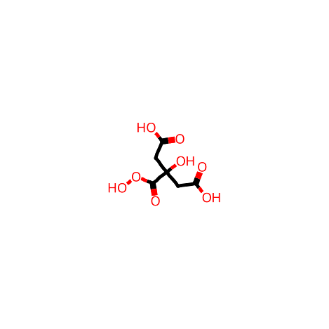 O=C(O)CC(O)(CC(=O)O)C(=O)OO